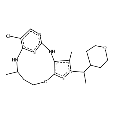 Cc1c2c(nn1C(C)C1CCOCC1)OCCC(C)Nc1nc(ncc1Cl)N2